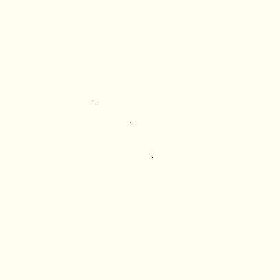 CC(C)NC(C)CC1CN2CCN1CC2